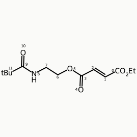 CCOC(=O)/C=C/C(=O)OCCNC(=O)C(C)(C)C